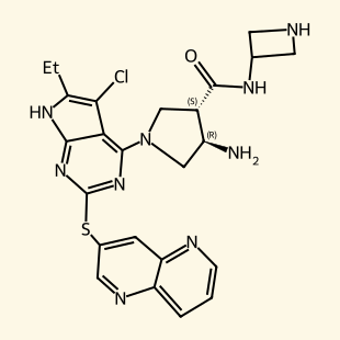 CCc1[nH]c2nc(Sc3cnc4cccnc4c3)nc(N3C[C@H](C(=O)NC4CNC4)[C@@H](N)C3)c2c1Cl